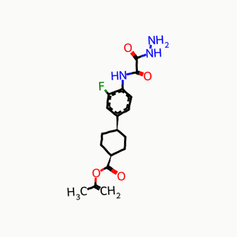 C=C(C)OC(=O)[C@H]1CC[C@@H](c2ccc(NC(=O)C(=O)NN)c(F)c2)CC1